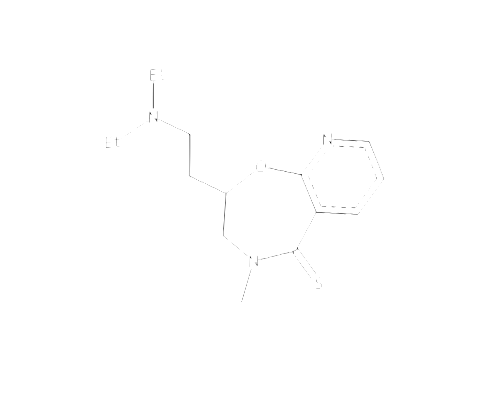 CCN(CC)CCC1CN(C)C(=S)c2cccnc2O1